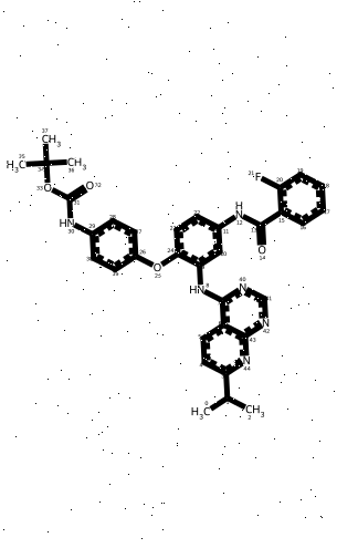 CC(C)c1ccc2c(Nc3cc(NC(=O)c4ccccc4F)ccc3Oc3ccc(NC(=O)OC(C)(C)C)cc3)ncnc2n1